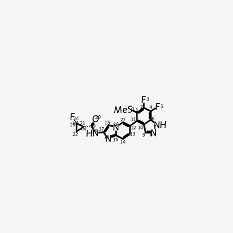 CSc1c(F)c(F)c2[nH]ncc2c1-c1ccc2nc(NC(=O)[C@@H]3C[C@@H]3F)cn2c1